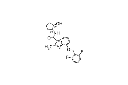 Cc1nc2c(OCc3c(F)cccc3F)cccn2c1C(=O)N[C@@H]1CCC[C@H]1O